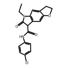 CCN1C(=O)C(C(=O)Nc2ccc(Cl)cc2)c2cc3c(cc21)CCO3